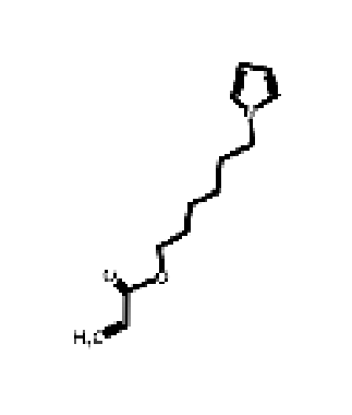 C=CC(=O)OCCCCCCn1cccc1